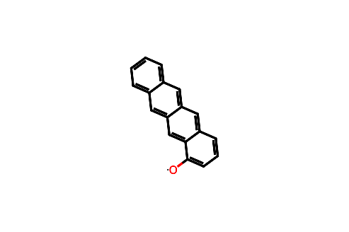 [O]c1cccc2cc3cc4ccccc4cc3cc12